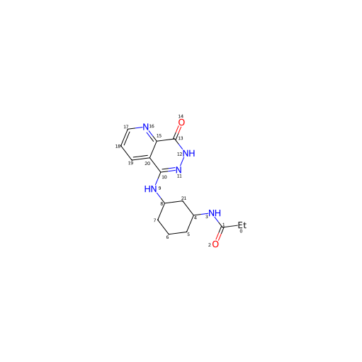 CCC(=O)NC1CCCC(Nc2n[nH]c(=O)c3ncccc23)C1